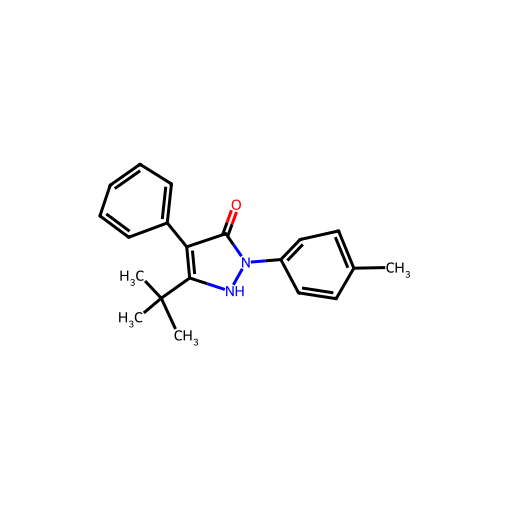 Cc1ccc(-n2[nH]c(C(C)(C)C)c(-c3ccccc3)c2=O)cc1